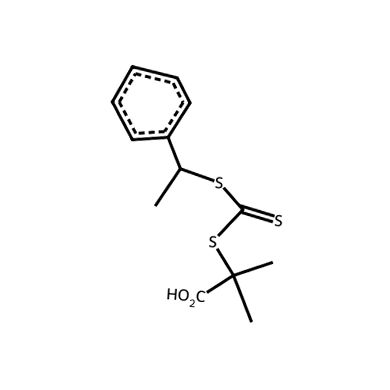 CC(SC(=S)SC(C)(C)C(=O)O)c1ccccc1